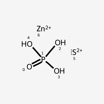 O=P(O)(O)O.[S+2].[Zn+2]